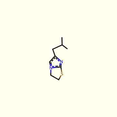 CC(C)Cc1cn2c(n1)SCC2